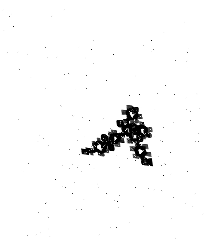 CCCC1CCN(S(=O)(=O)N2CC3C(C2)C3N2C(=O)C(Cc3ccncc3)(Cc3ccncc3)NC2=CC(=O)c2ccc(C#N)cc2)CC1